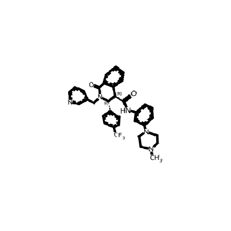 CN1CCN(c2cccc(NC(=O)[C@@H]3c4ccccc4C(=O)N(Cc4cccnc4)[C@H]3c3ccc(C(F)(F)F)cc3)c2)CC1